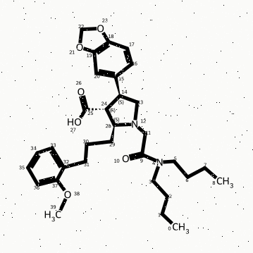 CCCCN(CCCC)C(=O)CN1C[C@H](c2ccc3c(c2)OCO3)[C@@H](C(=O)O)[C@@H]1CCCc1ccccc1OC